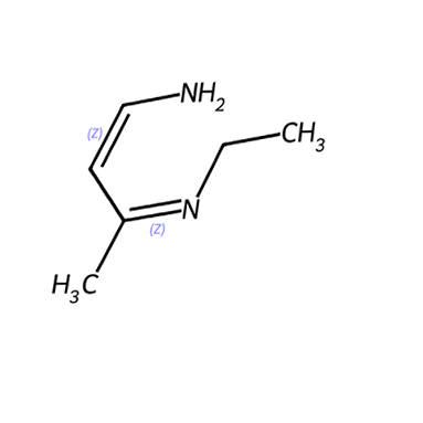 CC/N=C(C)\C=C/N